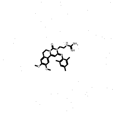 COc1cc2c(cc1OC)-c1cc(=Nc3c(C)cc(C)cc3C)n(CCNC(=N)N)c(=O)n1CC2